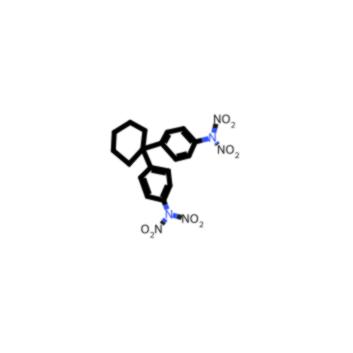 O=[N+]([O-])N(c1ccc(C2(c3ccc(N([N+](=O)[O-])[N+](=O)[O-])cc3)CCCCC2)cc1)[N+](=O)[O-]